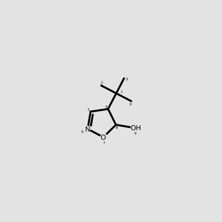 CC(C)(C)C1C=NOC1O